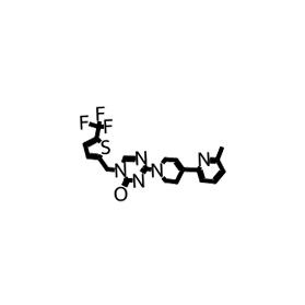 Cc1cccc(C2=CCN(c3ncn(Cc4ccc(C(F)(F)F)s4)c(=O)n3)CC2)n1